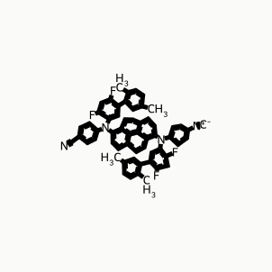 [C-]#[N+]c1ccc(N(c2cc(-c3cc(C)ccc3C)c(F)cc2F)c2ccc3ccc4c(N(c5ccc(C#N)cc5)c5cc(-c6cc(C)ccc6C)c(F)cc5F)ccc5ccc2c3c54)cc1